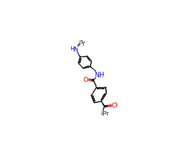 CC(C)Nc1ccc(NC(=O)c2ccc(C(=O)C(C)C)cc2)cc1